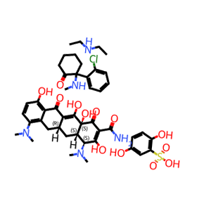 CCNCC.CN(C)c1ccc(O)c2c1C[C@H]1C[C@H]3[C@H](N(C)C)C(O)=C(C(N)=O)C(=O)[C@@]3(O)C(O)=C1C2=O.CNC1(c2ccccc2Cl)CCCCC1=O.O=S(=O)(O)c1cc(O)ccc1O